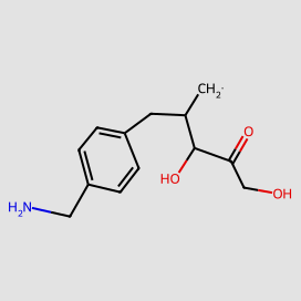 [CH2]C(Cc1ccc(CN)cc1)C(O)C(=O)CO